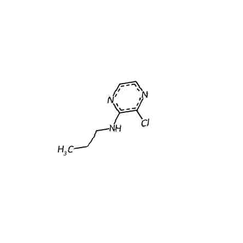 CCCNc1nccnc1Cl